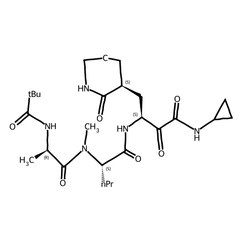 CCC[C@@H](C(=O)N[C@@H](C[C@@H]1CCCNC1=O)C(=O)C(=O)NC1CC1)N(C)C(=O)[C@@H](C)NC(=O)C(C)(C)C